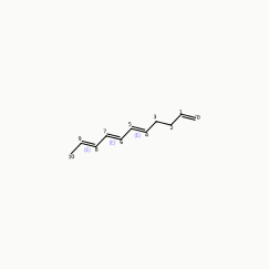 [CH]=CCC/C=C/C=C/C=C/C